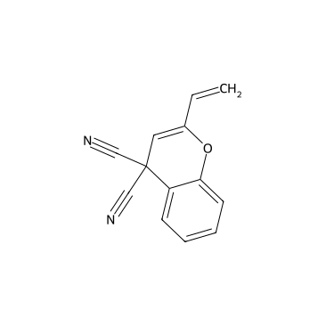 C=CC1=CC(C#N)(C#N)c2ccccc2O1